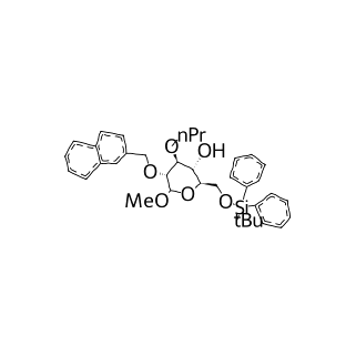 CCCO[C@H]1[C@H](O)[C@@H](CO[Si](c2ccccc2)(c2ccccc2)C(C)(C)C)OC(OC)[C@@H]1OCc1ccc2ccccc2c1